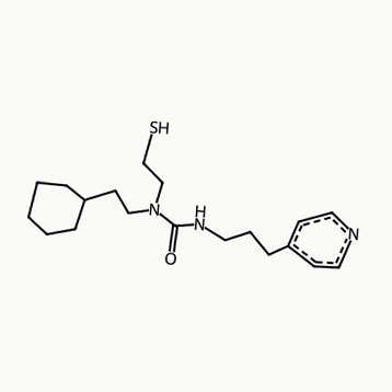 O=C(NCCCc1ccncc1)N(CCS)CCC1CCCCC1